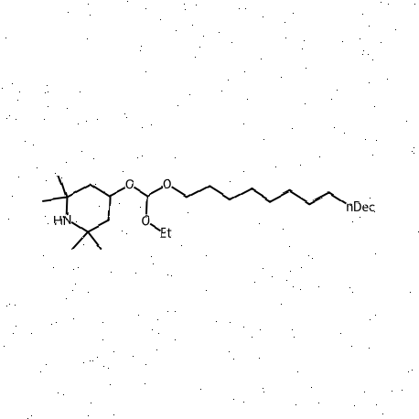 CCCCCCCCCCCCCCCCCCOC(OCC)OC1CC(C)(C)NC(C)(C)C1